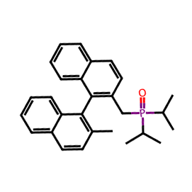 Cc1ccc2ccccc2c1-c1c(CP(=O)(C(C)C)C(C)C)ccc2ccccc12